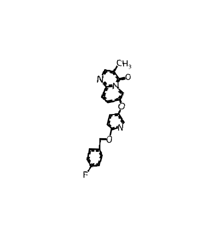 Cc1cnc2ccc(Oc3ccc(OCc4ccc(F)cc4)nc3)cn2c1=O